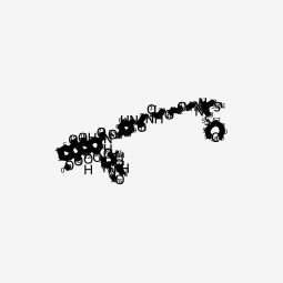 COc1cccc2c1C(=O)c1c(O)c3c(c(O)c1C2=O)CC(C(=O)NOCc1ccc(NC(=O)CNC(=O)CCOCCOCCn2nc(CSC)c(CSC4CCCCCCC4)n2)cc1)C[C@@H]3O[C@H]1C[C@H]2[C@H](O[C@@H]3COCCN32)[C@H](C)O1